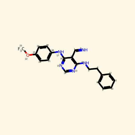 N=Cc1c(NCCc2ccccc2)ncnc1Nc1ccc(OC(F)(F)F)cc1